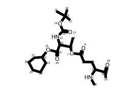 CNC(CCC(=O)OC(C)C(NC(=O)OC(C)(C)C)C(=O)OC1CCCCC1)C(C)=O